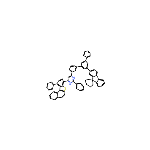 c1ccc(-c2cc(-c3cccc(-c4cc(-c5ccc(-c6ccccc6)c6c5sc5ccc7ccccc7c56)nc(-c5ccccc5)n4)c3)cc(-c3ccc4c(c3)C3(CCCCC3)c3ccccc3-4)c2)cc1